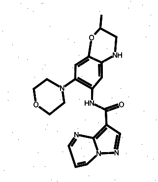 CC1CNc2cc(NC(=O)c3cnn4cccnc34)c(N3CCOCC3)cc2O1